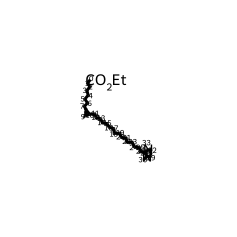 CCOC(=O)CCCCCCCC1CC1CCCCCCCCCCCCCCCCC(N(C)C)N(C)C